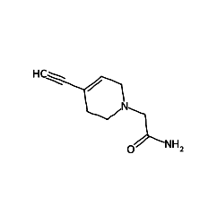 C#CC1=CCN(CC(N)=O)CC1